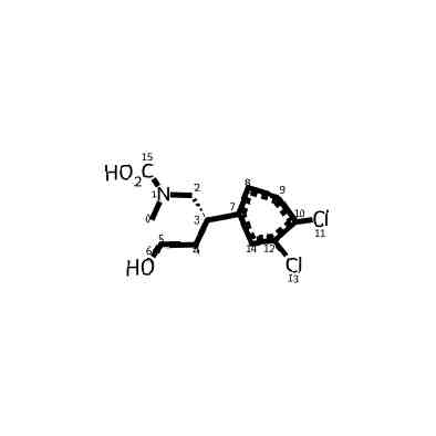 CN(C[C@@H](CCO)c1ccc(Cl)c(Cl)c1)C(=O)O